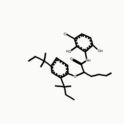 CCCCC(Oc1ccc(C(C)(C)CC)cc1C(C)(C)CC)C(=O)Nc1c(O)ccc(Cl)c1O